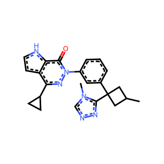 CC1CC(c2cccc(-n3nc(C4CC4)c4cc[nH]c4c3=O)c2)(c2nncn2C)C1